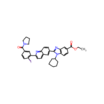 CCOC(=O)c1ccc2c(c1)nc(-c1ccc3nc(-c4cc(C(=O)N5CCCC5)ccc4I)ccc3c1)n2C1CCCCC1